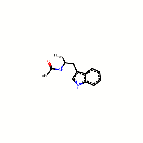 CCCC(=O)NC(Cc1c[nH]c2ccccc12)C(=O)O